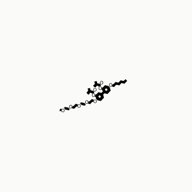 C=C(C)C(=O)Oc1cc(-c2ccc(OCCCCCC)cc2OC(=O)C(=C)C)ccc1OCCOCCOCCOCCOC